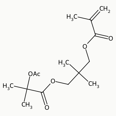 C=C(C)C(=O)OCC(C)(C)COC(=O)C(C)(C)OC(C)=O